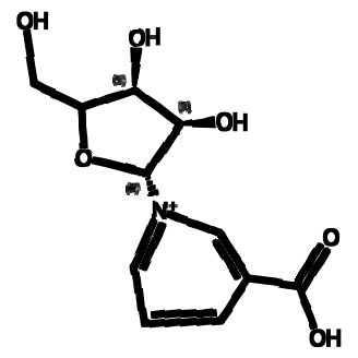 O=C(O)c1ccc[n+]([C@@H]2OC(CO)[C@@H](O)[C@H]2O)c1